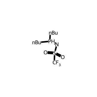 CCCC[PH](CCCC)=NS(=O)(=O)C(F)(F)F